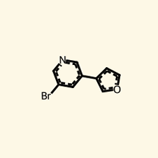 Brc1cncc(-c2ccoc2)c1